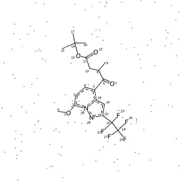 COc1ccc(C(=O)C(C)CC(=O)OC(C)(C)C)c2cc(C(F)(F)C(F)(F)F)nn12